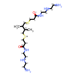 CC(CSCCC(=O)NCCNCCN)C(C)CSCCC(=O)NCCNCCN